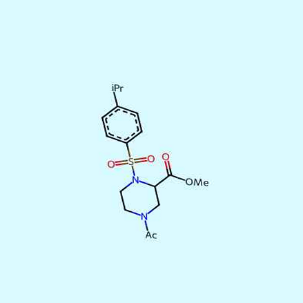 COC(=O)C1CN(C(C)=O)CCN1S(=O)(=O)c1ccc(C(C)C)cc1